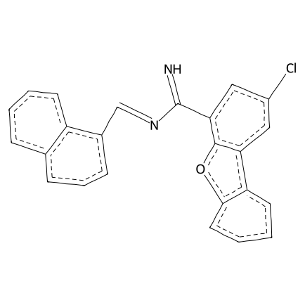 N=C(/N=C/c1cccc2ccccc12)c1cc(Cl)cc2c1oc1ccccc12